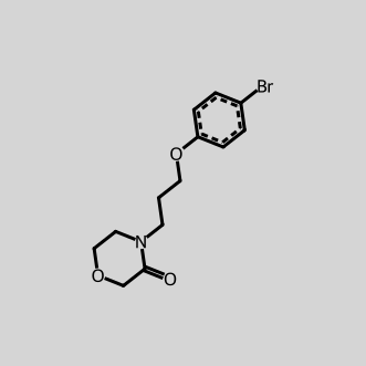 O=C1COCCN1CCCOc1ccc(Br)cc1